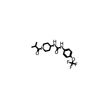 CC(C)C(=O)N1CCC(NC(=O)Nc2ccc(OC(F)(F)F)cc2)CC1